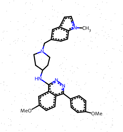 COc1ccc(-c2nnc(NC3CCN(Cc4ccc5c(ccn5C)c4)CC3)c3cc(OC)ccc23)cc1